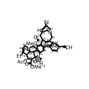 C#Cc1ccc2[nH]c3c(c2c1)CN1CC(CC)=C[C@@H](C1)C[C@]3(C(=O)OC)c1cc2c(cc1OC)N(C)[C@H]1[C@@](O)(C(=O)OC)[C@H](OC(C)=O)C3C(CC)=CCN4CC[C@]21[C@H]34